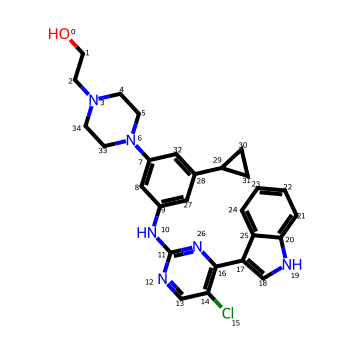 OCCN1CCN(c2cc(Nc3ncc(Cl)c(-c4c[nH]c5ccccc45)n3)cc(C3CC3)c2)CC1